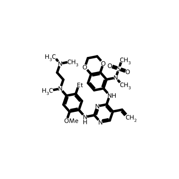 C=Cc1cnc(Nc2cc(CC)c(N(C)CCN(C)C)cc2OC)nc1Nc1ccc2c(c1N(C)S(C)(=O)=O)OCCO2